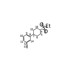 CCS(=O)(=O)C1CCC(c2cccc(I)c2)CC1